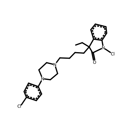 CCC1(CCCCN2CCN(c3ccc(Cl)cc3)CC2)C(=O)N(Cl)c2ccccc21